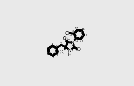 CC1(Cc2ccccc2)NC(=O)N(c2ccccc2Cl)C1=O